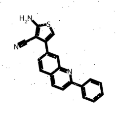 N#Cc1c(-c2ccc3ccc(-c4ccccc4)nc3c2)csc1N